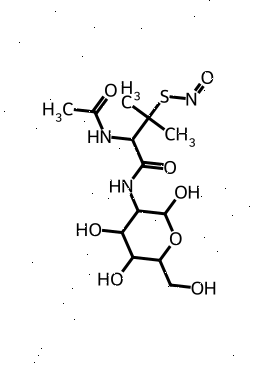 CC(=O)NC(C(=O)NC1C(O)OC(CO)C(O)C1O)C(C)(C)SN=O